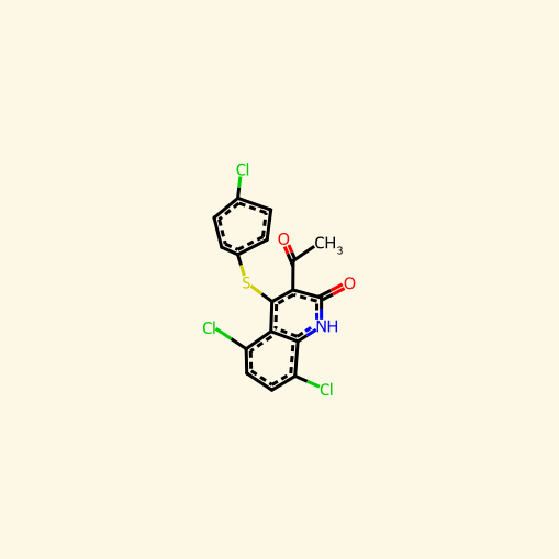 CC(=O)c1c(Sc2ccc(Cl)cc2)c2c(Cl)ccc(Cl)c2[nH]c1=O